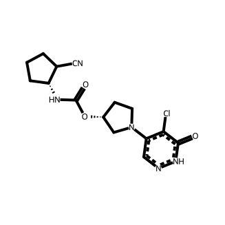 N#CC1CCC[C@H]1NC(=O)O[C@@H]1CCN(c2cn[nH]c(=O)c2Cl)C1